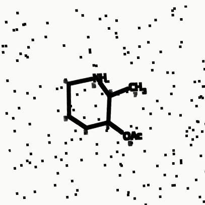 CC(=O)OC1CCCNC1C